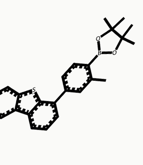 Cc1cc(-c2cccc3c2sc2ccccc23)ccc1B1OC(C)(C)C(C)(C)O1